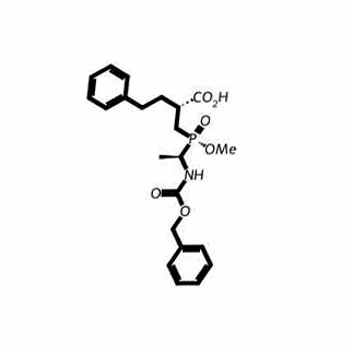 CO[P@@](=O)(C[C@H](CCc1ccccc1)C(=O)O)[C@H](C)NC(=O)OCc1ccccc1